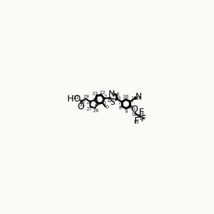 Cc1c(-c2ncc(-c3ccc(OCC(F)(F)F)c(C#N)c3)s2)ccc2c1CCC2CC(=O)O